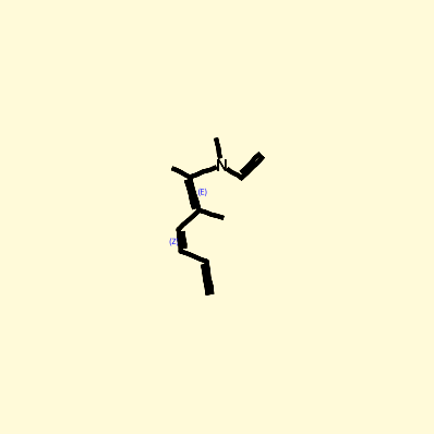 C=C/C=C\C(C)=C(/C)N(C)C=C